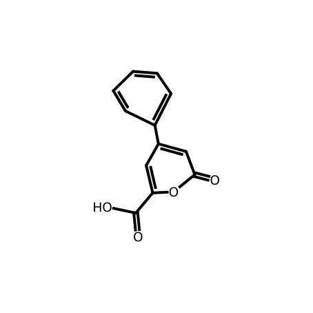 O=C(O)c1cc(-c2ccccc2)cc(=O)o1